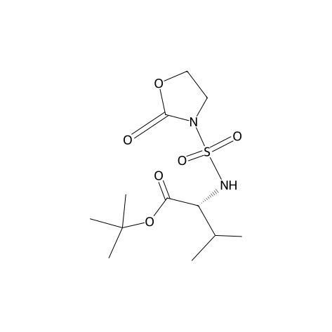 CC(C)[C@@H](NS(=O)(=O)N1CCOC1=O)C(=O)OC(C)(C)C